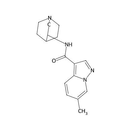 Cc1ccc2c(C(=O)NC3CN4CCC3CC4)cnn2c1